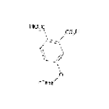 CCCCCOc1ccc(C(=O)O)c(C(=O)O)c1